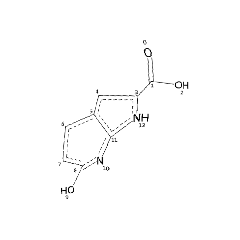 O=C(O)c1cc2ccc(O)nc2[nH]1